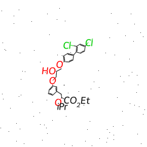 CCOC(=O)C(Cc1cccc(OCC(O)COc2ccc(-c3ccc(Cl)cc3Cl)cc2)c1)OC(C)C